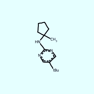 CC1(Nc2ncc(C(C)(C)C)cn2)CCCC1